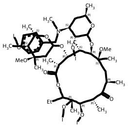 CCC1OC(=O)[C@H](C)[C@H](OC2C[C@@](C)(OC)[C@@H](OI)[C@H](C)O2)[C@H](C)[C@@H](OC2O[C@H](C)C[C@H](N(C)Cc3ccc(C)cc3)[C@H]2OI)[C@@](C)(OC)C[C@@H](C)C(=O)[C@H](C)[C@@H](OI)[C@]1(C)OI